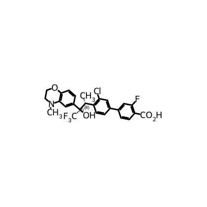 C[C@H](c1ccc(-c2ccc(C(=O)O)c(F)c2)cc1Cl)[C@@](O)(c1ccc2c(c1)N(C)CCO2)C(F)(F)F